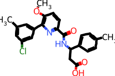 COc1ccc(C(=O)NC(CC(=O)O)c2ccc(C)cc2)nc1-c1cc(C)cc(Cl)c1